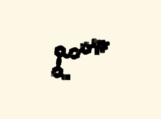 CC(C)(C)S(=O)(=O)NC(=O)c1ccc(N2CCN(Cc3ccccc3C#Cc3cncc(O)c3)CC2)nn1